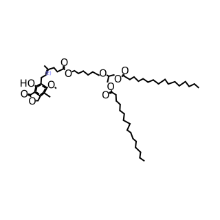 CCCCCCCCCCCCCCCC(=O)OCC(COC(=O)CCCCCCCCCCCCCCC)OCCCCCCOC(=O)CC/C(C)=C/Cc1c(O)c2c(c(C)c1OC)COC2=O